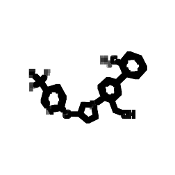 Cc1ccccc1-c1ccc(N2CCC(Oc3ccc(C(F)(F)F)cn3)C2)c(CO)c1